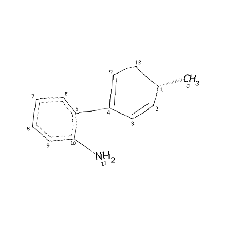 C[C@@H]1C=CC(c2ccccc2N)=CC1